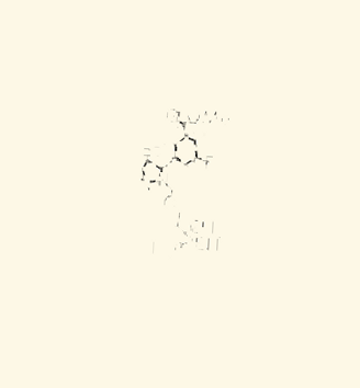 CCc1cnn(COCC[Si](C)(C)C)c1-c1cc(F)cc(C(=O)OC)c1